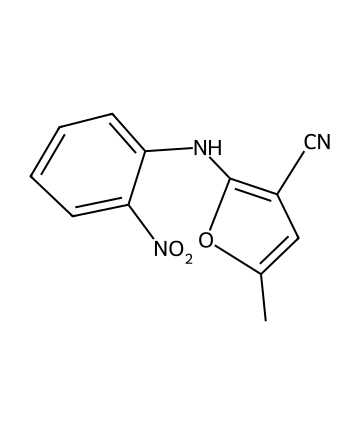 Cc1cc(C#N)c(Nc2ccccc2[N+](=O)[O-])o1